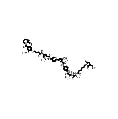 COc1cc2c(cc1OCCCC(=O)Nc1cc(C(=O)Nc3ccc(-c4cc(C)c(C(=O)Nc5ccc(NC(=O)[C@H](C)NC(=O)[C@@H](NC(=O)CCCCCN6C(=O)CC(CC(C)C)C6=O)C(C)C)cc5)s4)nc3)n(C)c1)N=C[C@@H]1CCCCN1C2=O